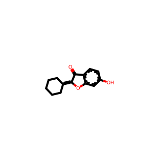 O=C1C(=C2CCCCC2)Oc2cc(O)ccc21